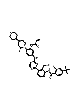 C=CC(=O)Nc1cc(Nc2ccnc(-c3ccnc(NC(=O)c4ccc(C(C)(C)C)cc4F)c3CO)n2)ccc1N1CCN(C2CCOCC2)C[C@@H]1C